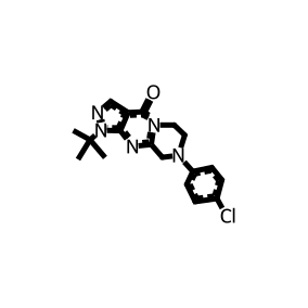 CC(C)(C)n1ncc2c(=O)n3c(nc21)CN(c1ccc(Cl)cc1)CC3